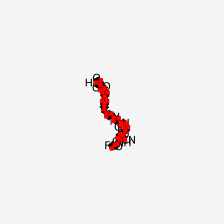 N#Cc1c(NS(=O)(=O)N2CC[C@@H](F)C2)ccc(F)c1Oc1ccc2ncn(-c3cnc(N4CCC(CN5CC6(CCN(c7ccc8c(c7)CN(C7CCC(=O)NC7=O)C8=O)CC6)C5)CC4)nc3)c(=O)c2c1